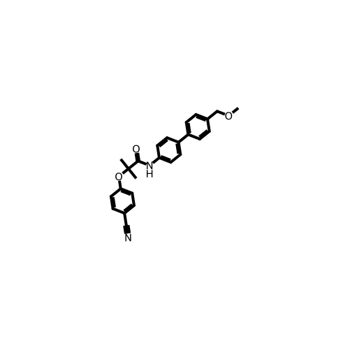 COCc1ccc(-c2ccc(NC(=O)C(C)(C)Oc3ccc(C#N)cc3)cc2)cc1